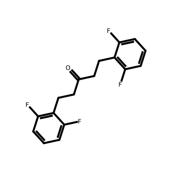 O=C(CCc1c(F)cccc1F)CCc1c(F)cccc1F